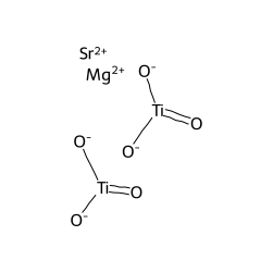 [Mg+2].[O]=[Ti]([O-])[O-].[O]=[Ti]([O-])[O-].[Sr+2]